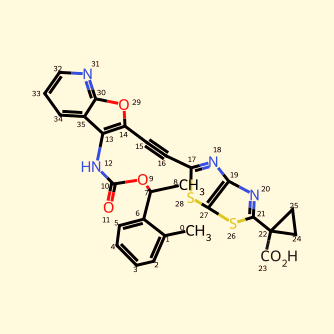 Cc1ccccc1C(C)OC(=O)Nc1c(C#Cc2nc3nc(C4(C(=O)O)CC4)sc3s2)oc2ncccc12